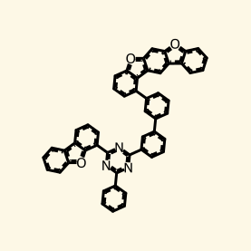 c1ccc(-c2nc(-c3cccc(-c4cccc(-c5cccc6oc7cc8oc9ccccc9c8cc7c56)c4)c3)nc(-c3cccc4c3oc3ccccc34)n2)cc1